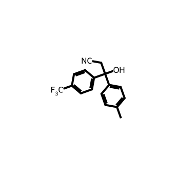 Cc1ccc(C(O)(CC#N)c2ccc(C(F)(F)F)cc2)cc1